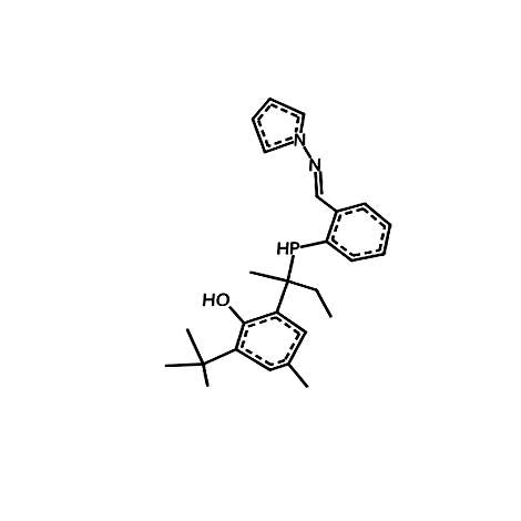 CCC(C)(Pc1ccccc1/C=N/n1cccc1)c1cc(C)cc(C(C)(C)C)c1O